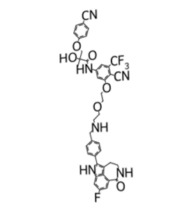 CC(O)(COc1ccc(C#N)cc1)C(=O)Nc1cc(OCCOCCNCc2ccc(-c3[nH]c4cc(F)cc5c4c3CCNC5=O)cc2)c(C#N)c(C(F)(F)F)c1